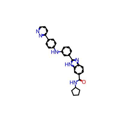 O=C(NC1CCCC1)c1ccc2nc(-c3cccc(Nc4ccc(-c5cccnn5)cc4)c3)[nH]c2c1